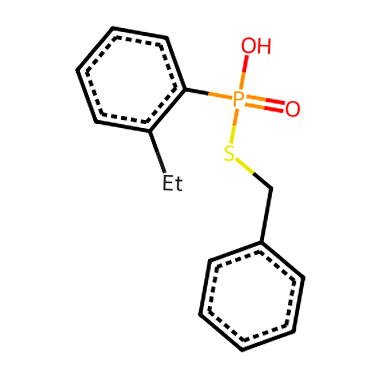 CCc1ccccc1P(=O)(O)SCc1ccccc1